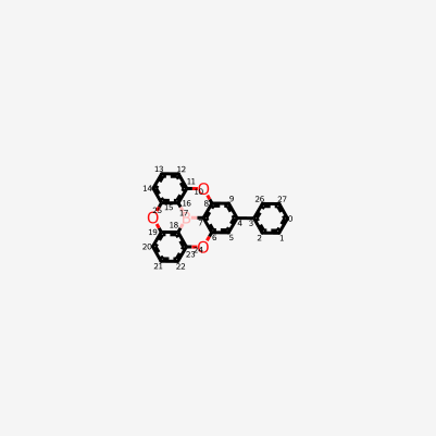 c1ccc(-c2cc3c4c(c2)Oc2cccc5c2B4c2c(cccc2O3)O5)cc1